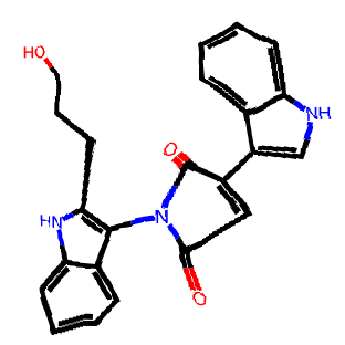 O=C1C=C(c2c[nH]c3ccccc23)C(=O)N1c1c(CCCO)[nH]c2ccccc12